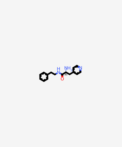 N[C@H](Cc1ccncc1)C(=O)NCCc1ccccc1